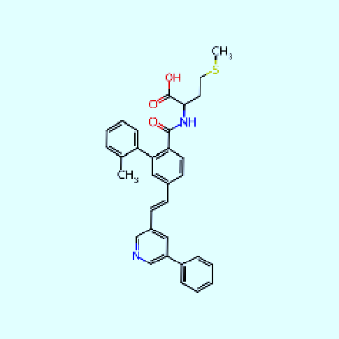 CSCCC(NC(=O)c1ccc(C=Cc2cncc(-c3ccccc3)c2)cc1-c1ccccc1C)C(=O)O